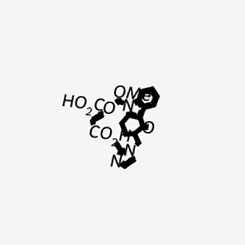 COC(=O)n1c2c(c3ccccc31)C(=O)C(Cn1ccnc1C)CC2.O=C(O)C=CC(=O)O